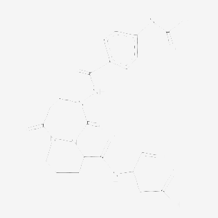 O=CC(CC(=O)O)NC(=O)C1CCCN2C(=O)CCN(NC(=O)c3ccc(NC(=O)O)cc3)C(=O)N12